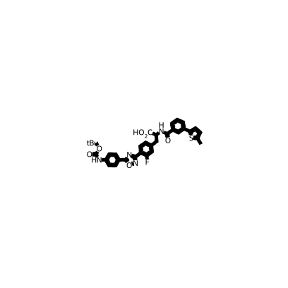 Cc1ccc(-c2cccc(C(=O)NC(Cc3ccc(-c4noc(-c5ccc(NC(=O)OC(C)(C)C)cc5)n4)c(F)c3)C(=O)O)c2)s1